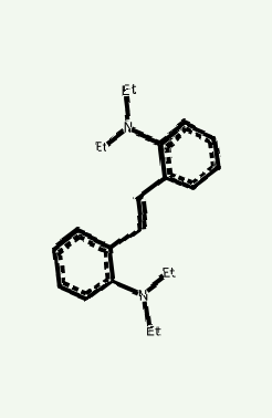 CCN(CC)c1ccccc1/[C]=C/c1ccccc1N(CC)CC